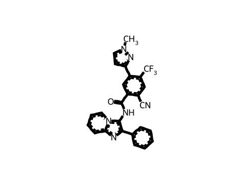 Cn1ccc(-c2cc(C(=O)Nc3c(-c4ccccc4)nc4ccccn34)c(C#N)cc2C(F)(F)F)n1